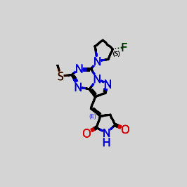 CSc1nc(N2CC[C@H](F)C2)n2ncc(/C=C3\CC(=O)NC3=O)c2n1